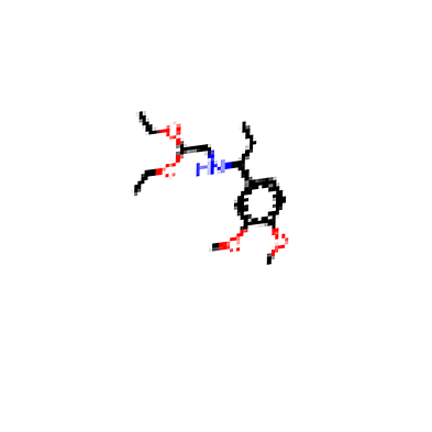 CCOC(CNC(CC)c1ccc(OC)c(OC)c1)OCC